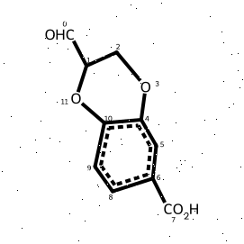 O=CC1COc2cc(C(=O)O)ccc2O1